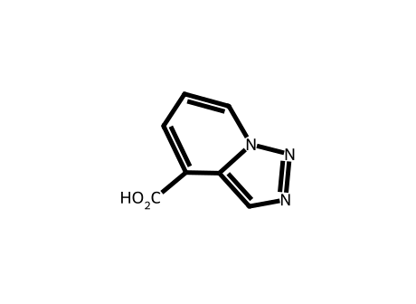 O=C(O)c1cccn2nncc12